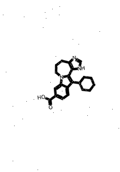 O=C(O)c1ccc2c(C3CCCCC3)c3n(c2c1)CCCc1nc[nH]c1-3